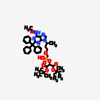 CONc1nc(C(c2ccccc2)(c2ccccc2)c2ccccc2)nc2c1ncn2C(C)CCOCP(=O)(O)OC(C(=O)OC(C)(C)C)C(=O)OC(C)(C)C